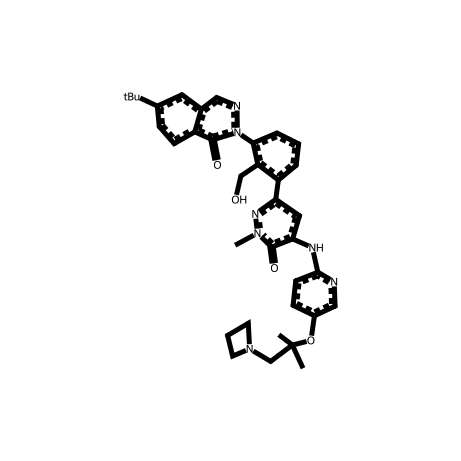 Cn1nc(-c2cccc(-n3ncc4cc(C(C)(C)C)ccc4c3=O)c2CO)cc(Nc2ccc(OC(C)(C)CN3CCC3)cn2)c1=O